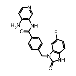 Nc1ccncc1NC(=O)c1ccc(Cn2c(=O)[nH]c3ccc(F)cc32)cc1